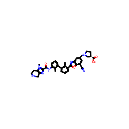 Cc1c(NC(=O)c2nc3c(n2C)CCNC3)cccc1-c1cccc(-c2nc3cc(CN4CC[C@H](C(=O)O)C4)cc(C#N)c3o2)c1C